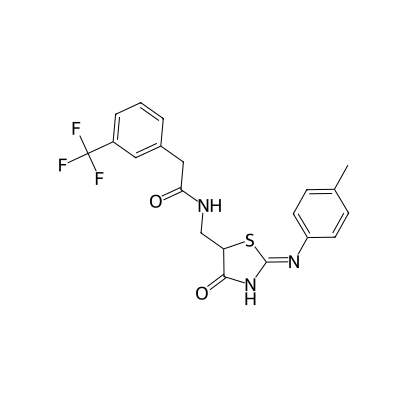 Cc1ccc(/N=C2/NC(=O)C(CNC(=O)Cc3cccc(C(F)(F)F)c3)S2)cc1